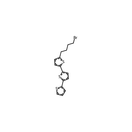 BrCCCCc1ccc(-c2ccc(-c3cccs3)s2)s1